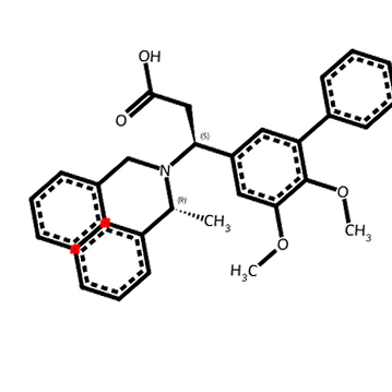 COc1cc([C@H](CC(=O)O)N(Cc2ccccc2)[C@H](C)c2ccccc2)cc(-c2ccccc2)c1OC